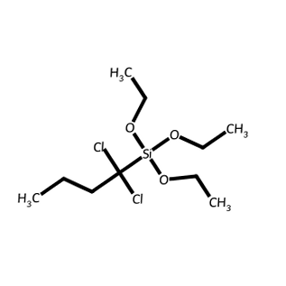 CCCC(Cl)(Cl)[Si](OCC)(OCC)OCC